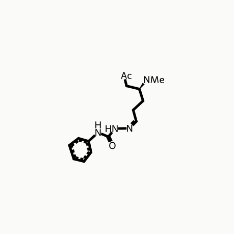 CN[C@@H](CC/C=N\NC(=O)Nc1ccccc1)CC(C)=O